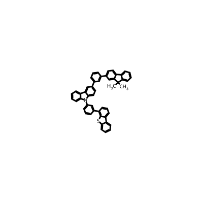 CC1(C)c2ccccc2-c2ccc(-c3cccc(-c4ccc5c(c4)c4ccccc4n5-c4cccc(-c5cccc6c5sc5ccccc56)c4)c3)cc21